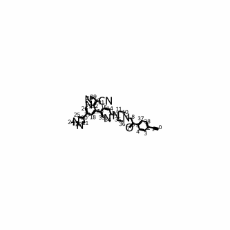 C#Cc1ccc(C(=O)CN2CCN(c3ccc(-c4cc(-c5cnn(C)c5)cn5ncc(C#N)c45)cn3)CC2)cc1